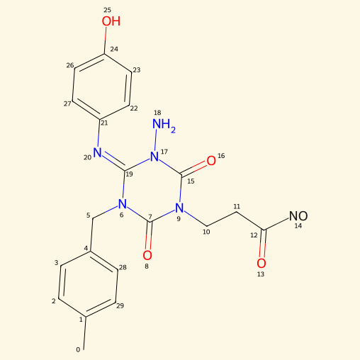 Cc1ccc(Cn2c(=O)n(CCC(=O)N=O)c(=O)n(N)/c2=N\c2ccc(O)cc2)cc1